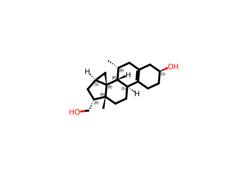 C[C@@H]1CC2=C(CC[C@H](O)C2)[C@H]2CC[C@]3(C)[C@H](CO)C[C@H]4C[C@]43[C@H]12